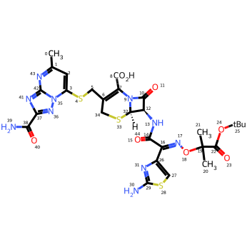 Cc1cc(SCC2=C(C(=O)O)N3C(=O)[C@@H](NC(=O)C(=NOC(C)(C)C(=O)OC(C)(C)C)c4csc(N)n4)[C@H]3SC2)n2nc(C(N)=O)nc2n1